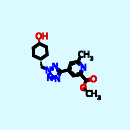 COC(=O)c1cc(-c2nnn(C[C@H]3CC[C@@H](O)CC3)n2)cc(C)n1